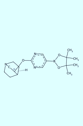 CC1(C)OB(c2cnc(O[C@@H]3CN4CCC3CC4)nc2)OC1(C)C